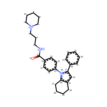 O=C(NCCCN1CCCCC1)c1ccc(-n2c(-c3ccccc3)cc3c2CCCC3)cc1